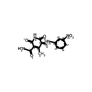 CC1=C(C(N)=O)C(=O)NC(=O)/C1=N\Nc1cccc([N+](=O)[O-])c1